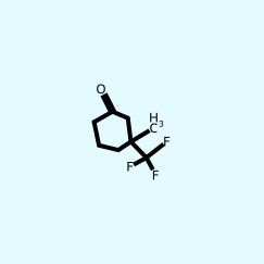 CC1(C(F)(F)F)CCCC(=O)C1